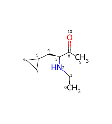 CCN[C@@H](CC1CC1)C(C)=O